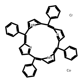 C1=Cc2nc1c(-c1ccccc1)c1ccc([nH]1)c(-c1ccccc1)c1nc(c(-c3ccccc3)c3ccc([nH]3)c2-c2ccccc2)C=C1.[Co].[Cr]